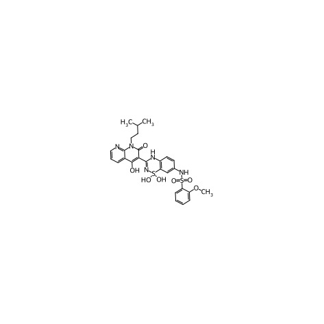 COc1ccccc1S(=O)(=O)Nc1ccc2c(c1)S(O)(O)N=C(c1c(O)c3cccnc3n(CCC(C)C)c1=O)N2